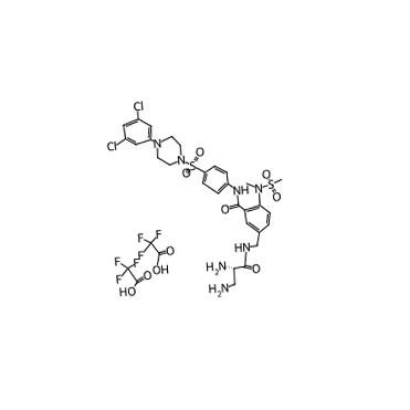 CN(c1ccc(CNC(=O)[C@@H](N)CN)cc1C(=O)Nc1ccc(S(=O)(=O)N2CCN(c3cc(Cl)cc(Cl)c3)CC2)cc1)S(C)(=O)=O.O=C(O)C(F)(F)F.O=C(O)C(F)(F)F